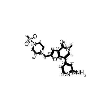 C[C@@H]1CN(S(C)(=O)=O)CCN1Cc1cc2c(=O)n(C)cc(-c3ccnc(N)c3)c2o1